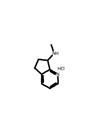 CNC1CCc2cccnc21.Cl